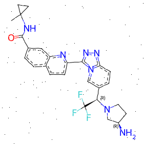 CC1(NC(=O)c2ccc3ccc(-c4nnc5ccc([C@@H](N6CC[C@@H](N)C6)C(F)(F)F)cn45)nc3c2)CC1